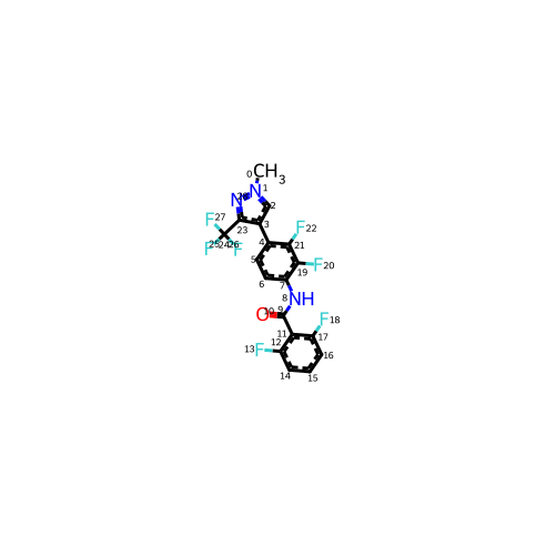 Cn1cc(-c2ccc(NC(=O)c3c(F)cccc3F)c(F)c2F)c(C(F)(F)F)n1